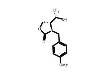 COc1ccc(CN2C(=O)OC[C@@H]2[C@H](C)O)cc1